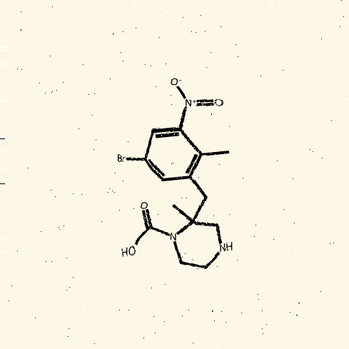 Cc1c(CC2(C)CNCCN2C(=O)O)cc(Br)cc1[N+](=O)[O-]